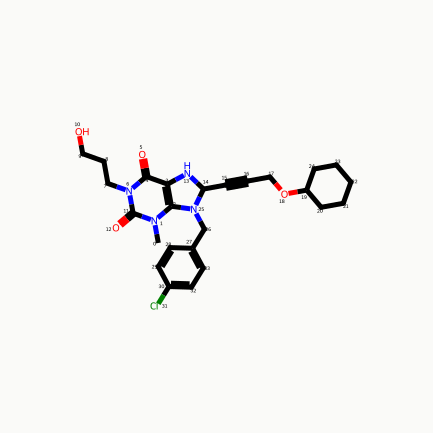 Cn1c2c(c(=O)n(CCCO)c1=O)NC(C#CCOC1CCCCC1)N2Cc1ccc(Cl)cc1